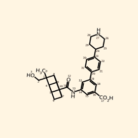 CC1(CO)C2C3CC4C1C2C34C(=O)Nc1cc(C(=O)O)cc(-c2ccc(C3CCNCC3)cc2)c1